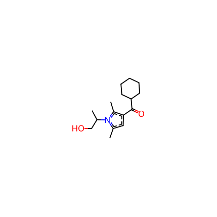 Cc1cc(C(=O)C2CCCCC2)c(C)n1C(C)CO